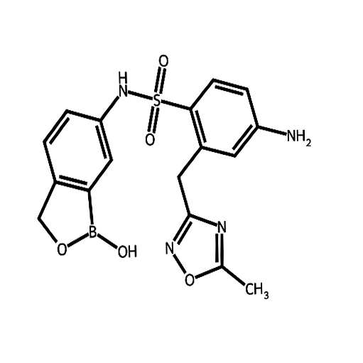 Cc1nc(Cc2cc(N)ccc2S(=O)(=O)Nc2ccc3c(c2)B(O)OC3)no1